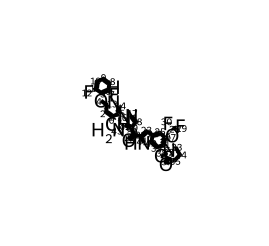 CC1=CC(Oc2c(F)cccc2F)NC=C1n1ncc(C(=O)c2cc3cc(OC(F)F)c(N4CCCS4(=O)=O)cc3[nH]2)c1N